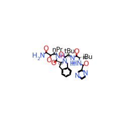 CCC[C@H](NC(=O)[C@@H]1Cc2ccccc2CN1C(=O)[C@@H](NC(=O)C(NC(=O)c1cnccn1)[C@@H](C)CC)C(C)(C)C)C(=O)C(N)=O